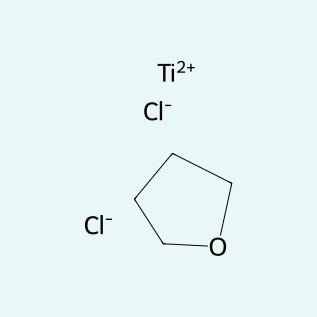 C1CCOC1.[Cl-].[Cl-].[Ti+2]